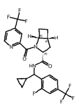 O=C(NC(c1ccc(C(F)(F)F)cc1F)C1CC1)[C@H]1C[C@H]2CC[C@H]2N1C(=O)c1cc(C(F)(F)F)ccn1